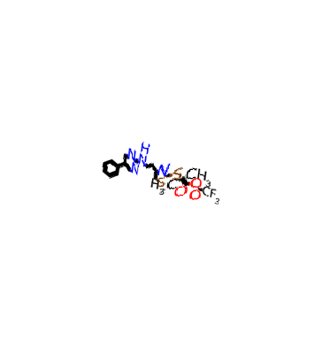 CC(C)(Sc1nc(CCNc2ncc(-c3ccccc3)cn2)cs1)C(=O)OC(=O)C(F)(F)F